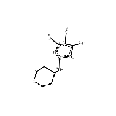 [2H]c1nc(NC2CCOCC2)nc(Cl)c1Cl